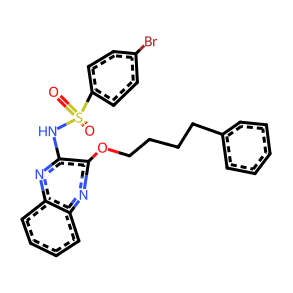 O=S(=O)(Nc1nc2ccccc2nc1OCCCCc1ccccc1)c1ccc(Br)cc1